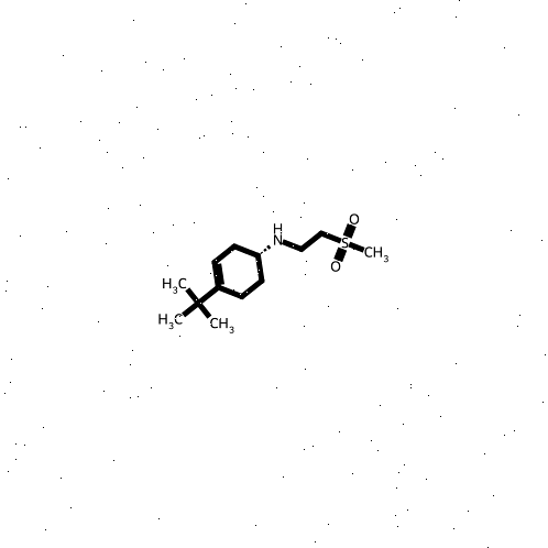 CC(C)(C)C1=CC[C@H](NCCS(C)(=O)=O)CC1